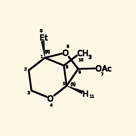 CC[C@]12CCO[C@H](C(OC(C)=O)O1)C2C